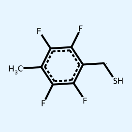 Cc1c(F)c(F)c([CH]S)c(F)c1F